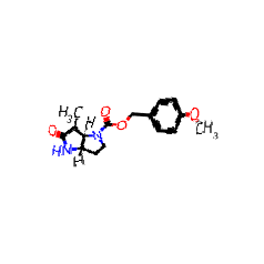 COc1ccc(COC(=O)N2CC[C@@H]3NC(=O)[C@@H](C)[C@H]32)cc1